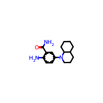 NC(=O)c1cc(N2CCCC3CCCCC32)ccc1N